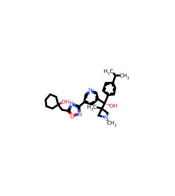 CC(C)c1ccc([C@](O)(c2cncc(-c3noc(CC4(O)CCCCC4)n3)c2)C2(C)CN(C)C2)cc1